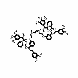 CC[C@H](C(=O)N1CCCC[C@H]1C(=O)O[C@H](CCc1ccc(OC)c(OC)c1)c1cccc(OCCN(C)CCN(C)CCOc2cccc([C@@H](CCc3ccc(OC)c(OC)c3)OC(=O)[C@@H]3CCCCN3C(=O)[C@@H](CC)c3cc(OC)c(OC)c(OC)c3)c2)c1)c1cc(OC)c(OC)c(OC)c1